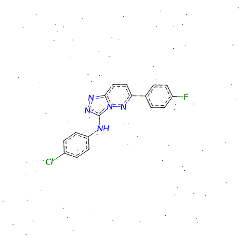 Fc1ccc(-c2ccc3nnc(Nc4ccc(Cl)cc4)n3n2)cc1